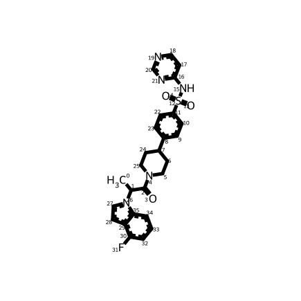 CC(C(=O)N1CCC(c2ccc(S(=O)(=O)Nc3ccncn3)cc2)CC1)n1ccc2c(F)cccc21